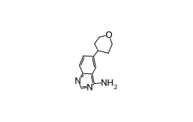 Nc1ncnc2ccc(C3CCOCC3)cc12